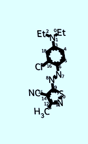 CCN(CC)c1ccc(N=Nc2snc(C)c2C#N)c(Cl)c1